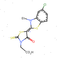 CCN1/C(=C2\SC(=S)N(CC(=O)O)C2=O)Sc2ccc(Cl)cc21